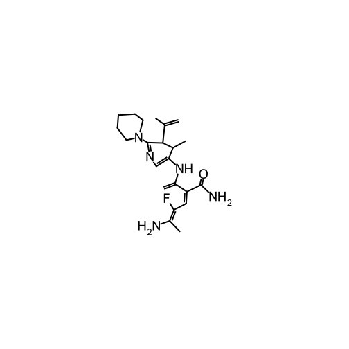 C=C(NC1=CN=C(N2CCCCC2)C(C(=C)C)C1C)/C(=C\C(F)=C(/C)N)C(N)=O